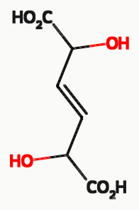 O=C(O)C(O)C=CC(O)C(=O)O